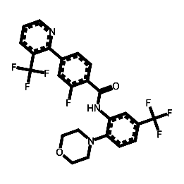 O=C(Nc1cc(C(F)(F)F)ccc1N1CCOCC1)c1ccc(-c2ncccc2C(F)(F)F)cc1F